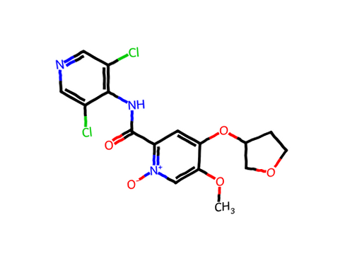 COc1c[n+]([O-])c(C(=O)Nc2c(Cl)cncc2Cl)cc1OC1CCOC1